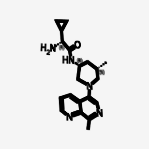 Cc1ncc(N2C[C@@H](C)C[C@@H](NC(=O)[C@H](N)C3CC3)C2)c2cccnc12